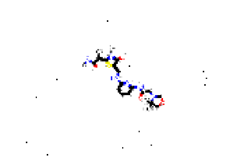 CCNC(=O)C(C#N)=c1sc(=CNc2cccc(NC(=O)CN3COCC3(C)C)n2)c(=O)n1CC